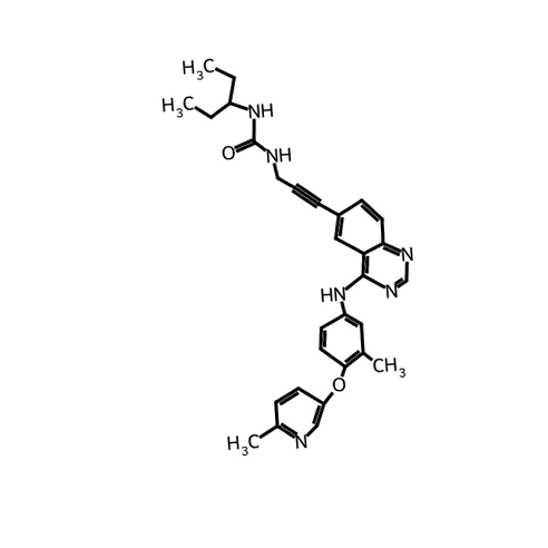 CCC(CC)NC(=O)NCC#Cc1ccc2ncnc(Nc3ccc(Oc4ccc(C)nc4)c(C)c3)c2c1